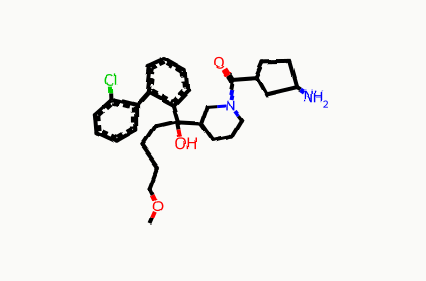 COCCCCC(O)(c1ccccc1-c1ccccc1Cl)C1CCCN(C(=O)C2CCC(N)C2)C1